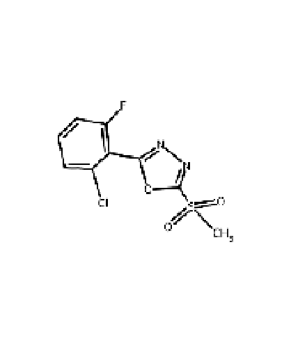 CS(=O)(=O)c1nnc(-c2c(F)cccc2Cl)o1